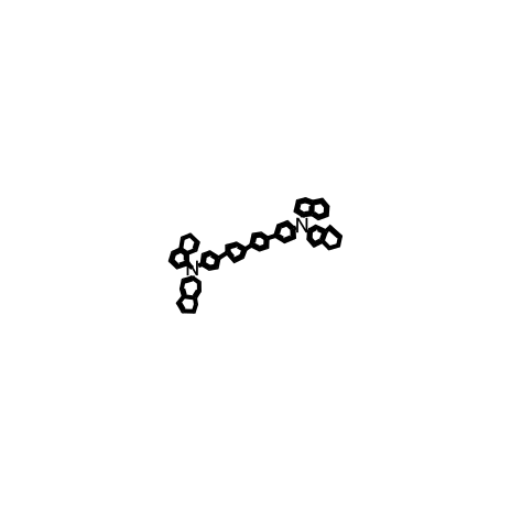 C1=CC2=CC=C(N(c3ccc(-c4ccc(-c5ccc(-c6ccc(N(c7ccc8c(c7)C=CCC8)c7cccc8ccccc78)cc6)cc5)cc4)cc3)c3cccc4c3C=CCC4)CC=C2CC1